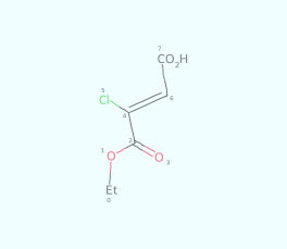 CCOC(=O)C(Cl)=CC(=O)O